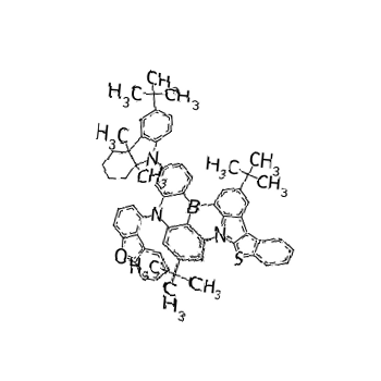 CC(C)(C)c1cc2c3c(c1)-n1c4sc5ccccc5c4c4cc(C(C)(C)C)cc(c41)B3c1ccc(N3c4ccc(C(C)(C)C)cc4C4(C)CCCCC34C)cc1N2c1cccc2oc3ccccc3c12